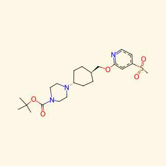 CC(C)(C)OC(=O)N1CCN([C@H]2CC[C@H](COc3cc(S(C)(=O)=O)ccn3)CC2)CC1